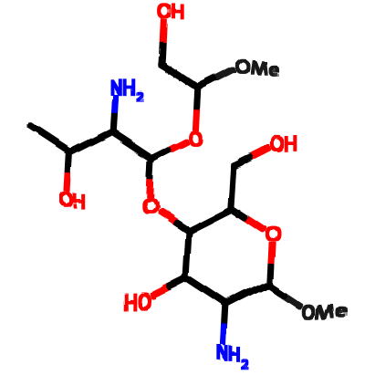 COC(CO)OC(OC1C(CO)OC(OC)C(N)C1O)C(N)C(C)O